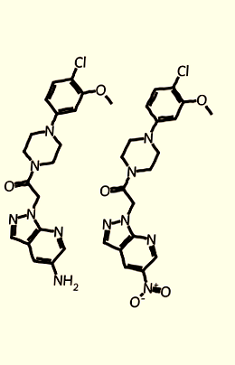 COc1cc(N2CCN(C(=O)Cn3ncc4cc(N)cnc43)CC2)ccc1Cl.COc1cc(N2CCN(C(=O)Cn3ncc4cc([N+](=O)[O-])cnc43)CC2)ccc1Cl